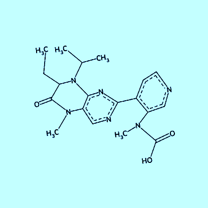 CCC1C(=O)N(C)c2cnc(-c3ccncc3N(C)C(=O)O)nc2N1C(C)C